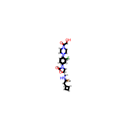 O=C(CO)N1CCN(c2ccc(N3C[C@H](CNC(=S)CC4CCC4)OC3=O)cc2F)CC1